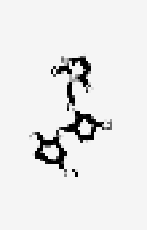 N#Cc1ccc(Cl)c(Oc2ccc(Cl)cc2OCCn2c(=O)cc[nH]c2=O)c1